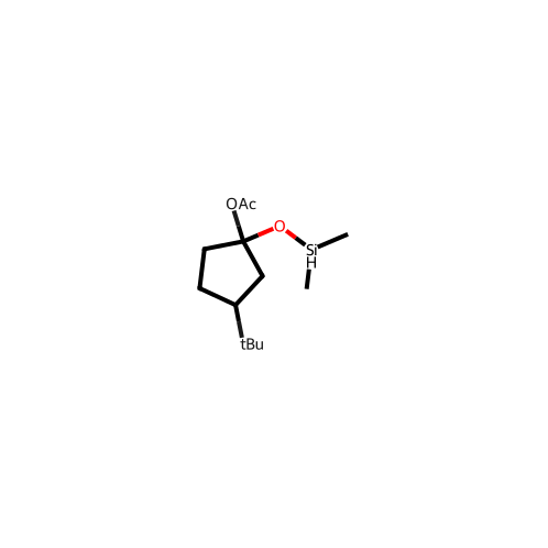 CC(=O)OC1(O[SiH](C)C)CCC(C(C)(C)C)C1